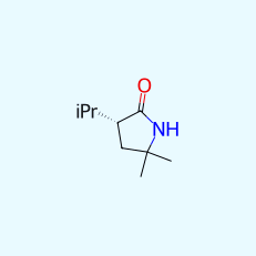 CC(C)[C@H]1CC(C)(C)NC1=O